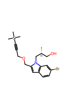 C[C@H](CO)Cn1c(COCC#C[Si](C)(C)C)cc2ccc(Br)cc21